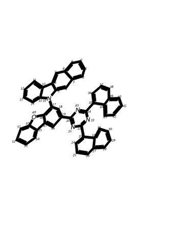 c1ccc2cc3c(cc2c1)c1ccccc1n3-c1cc(-c2nc(-c3cccc4ccccc34)nc(-c3cccc4ccccc34)n2)cc2c1oc1ccccc12